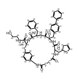 O=C1CCC(=O)N[C@H](CC2CC=CS2)C(=O)N[C@@H](Cc2ccc(-c3ccccc3)cc2)C(=O)N[C@H](Cc2ccccc2)C(=O)N[C@H](C(=O)NCCO)Cc2ccc(cc2)N1